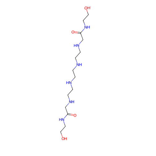 O=C(CNCCNCCNCCNCC(=O)NCCO)NCCO